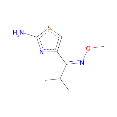 CO/N=C(\c1csc(N)n1)C(C)C